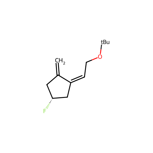 C=C1C[C@@H](F)C/C1=C/COC(C)(C)C